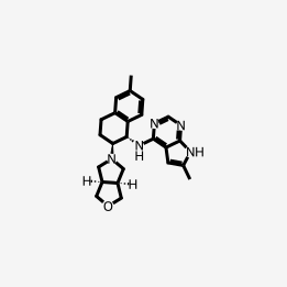 Cc1ccc2c(c1)CC[C@H](N1C[C@H]3COC[C@H]3C1)[C@H]2Nc1ncnc2[nH]c(C)cc12